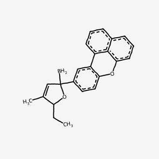 BC1(c2ccc3c(c2)-c2cccc4cccc(c24)O3)C=C(C)C(CC)O1